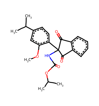 COc1cc(C(C)C)ccc1C1(NC(=O)OC(C)C)C(=O)c2ccccc2C1=O